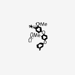 COc1cc(Oc2ccc(Oc3cccc(C)c3)cc2)c(OC)cc1[N+]#N.[Cl-]